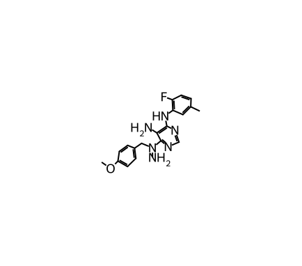 COc1ccc(CN(N)c2ncnc(Nc3cc(C)ccc3F)c2N)cc1